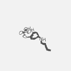 CCCCNc1ccc(OP(=O)(O)O)cc1